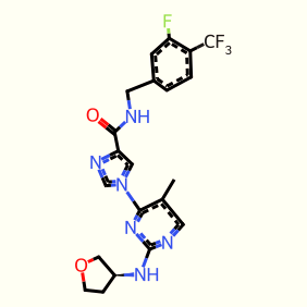 Cc1cnc(N[C@H]2CCOC2)nc1-n1cnc(C(=O)NCc2ccc(C(F)(F)F)c(F)c2)c1